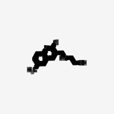 Cc1ccc2nc(Cl)c(CNCCO)cc2c1